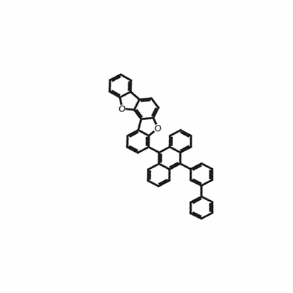 c1ccc(-c2cccc(-c3c4ccccc4c(-c4cccc5c4oc4ccc6c7ccccc7oc6c45)c4ccccc34)c2)cc1